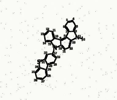 In1c2ccccc2c2c3c4ccccc4n(-c4ccc5c(c4)sc4ccccc45)c3ccc21